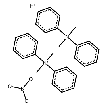 C[N+](C)(c1ccccc1)c1ccccc1.C[N+](C)(c1ccccc1)c1ccccc1.[H+].[O-]B([O-])[O-]